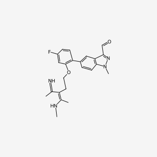 CN/C(C)=C(/CCOc1cc(F)ccc1-c1ccc2c(c1)c(C=O)nn2C)C(C)=N